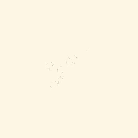 CCNC(=O)Nc1nc2cc(-c3cnc(N4CCC(C)(C(=O)O)CC4)nc3)cc(-c3ncccn3)c2s1